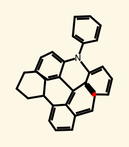 c1ccc(N(c2ccccc2)c2ccccc2-c2cccc3cccc(C4CCCCC4)c23)cc1